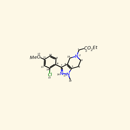 CCOC(=O)CN1CCc2c(c(-c3ccc(OC)cc3Cl)nn2C)C1